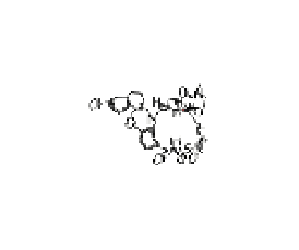 C[C@@H]1[C@@H](C)CCC[C@@](O)([C@@H]2OCCN(C)C2=O)[C@@H]2CC[C@H]2CN2C[C@@]3(CCCc4cc(Cl)ccc43)COc3ccc(cc32)C(=O)NS1(=O)=O